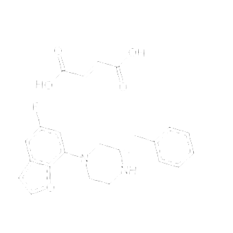 Fc1cc(N2CCN[C@@H](Cc3ccccc3)C2)c2occc2c1.O=C(O)C=CC(=O)O